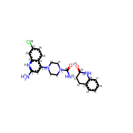 Nc1cc(N2CCN(C(=O)N[C@H]3Cc4ccccc4NC3=O)CC2)c2ccc(Cl)cc2n1